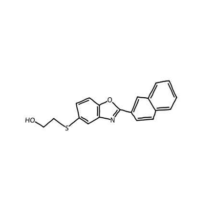 OCCSc1ccc2oc(-c3ccc4ccccc4c3)nc2c1